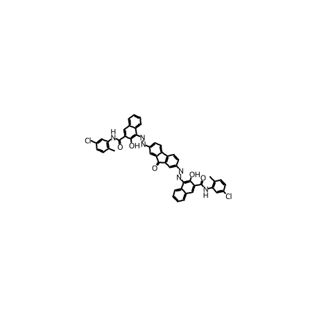 Cc1ccc(Cl)cc1NC(=O)c1cc2ccccc2c(N=Nc2ccc3c(c2)C(=O)c2cc(N=Nc4c(O)c(C(=O)Nc5cc(Cl)ccc5C)cc5ccccc45)ccc2-3)c1O